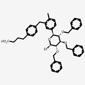 CC[C@H]1O[C@@H](c2ccc(C)c(Cc3ccc(CCCC(=O)O)cc3)c2)[C@H](OCc2ccccc2)[C@@H](OCc2ccccc2)[C@@H]1OCc1ccccc1